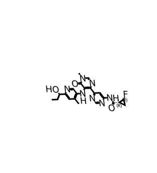 CCC(O)c1cc(C)c(Nc2c(-c3cc(NC(=O)[C@H]4C[C@H]4F)ncn3)ncn(C)c2=O)cn1